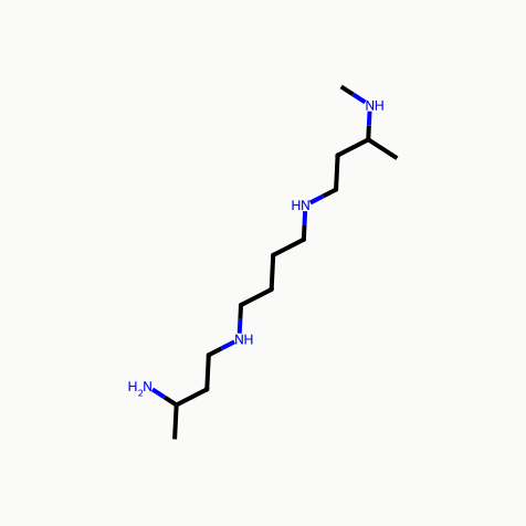 CNC(C)CCNCCCCNCCC(C)N